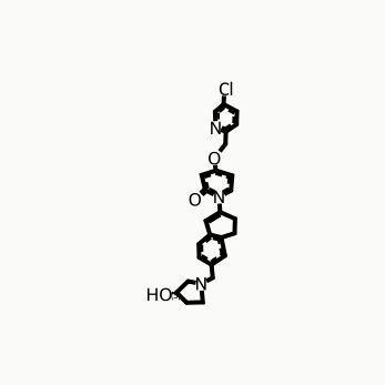 O=c1cc(OCc2ccc(Cl)cn2)ccn1C1=Cc2ccc(CN3CC[C@H](O)C3)cc2CC1